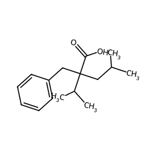 CC(C)CC(Cc1ccccc1)(C(=O)O)C(C)C